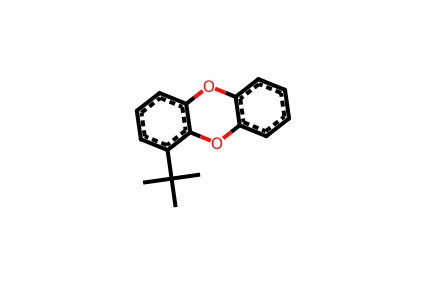 CC(C)(C)c1cccc2c1Oc1ccccc1O2